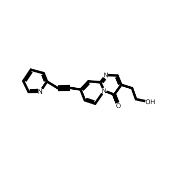 O=c1c(CCO)cnc2cc(C#Cc3ccccn3)ccn12